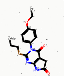 COCCSc1nc2c(c(=O)n1-c1ccc(OCC(F)(F)F)cc1)CC(=O)N2